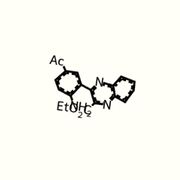 CCOC(=O)c1nc2ccccc2nc1-c1cc(C(C)=O)ccc1N